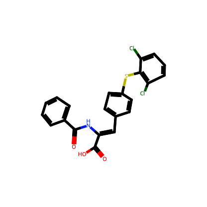 O=C(O)C(=Cc1ccc(Sc2c(Cl)cccc2Cl)cc1)NC(=O)c1ccccc1